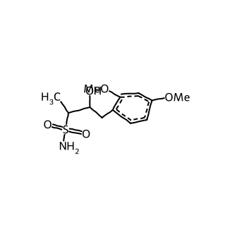 COc1ccc(CC(O)C(C)S(N)(=O)=O)c(OC)c1